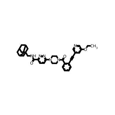 CCOc1cncc(C#Cc2ccccc2C(=O)N2CCN(c3ccc(C(=O)NCC45CC6CC(CC(C6)C4)C5)nn3)CC2)c1